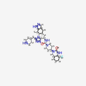 Cc1cc(CC(NC(=O)N2CCC(N3Cc4cccc(F)c4NC3=O)CC2)c2nnn(CC3CCNCC3)n2)cc2cn[nH]c12